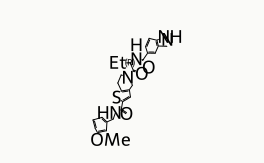 CC[C@@H](NC(=O)c1ccc2[nH]ncc2c1)C(=O)N1CCc2sc(C(=O)NCc3cccc(OC)c3)cc2C1